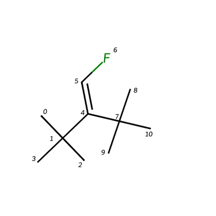 CC(C)(C)C(=CF)C(C)(C)C